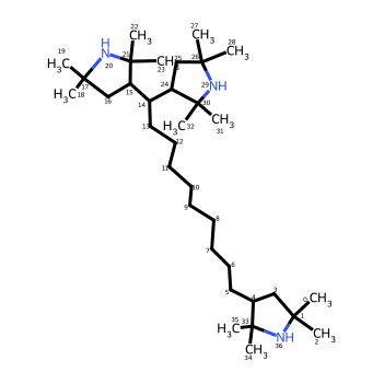 CC1(C)CC(CCCCCCCCCC(C2CC(C)(C)NC2(C)C)C2CC(C)(C)NC2(C)C)C(C)(C)N1